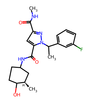 CNC(=O)c1cc(C(=O)NC2CCC(O)[C@H](C)C2)n(C(C)c2cccc(F)c2)n1